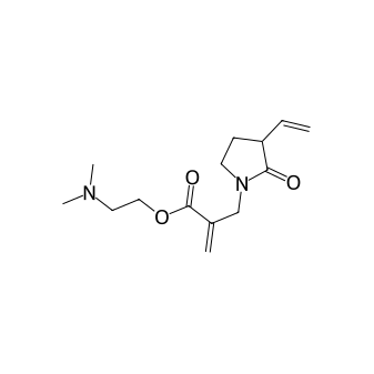 C=CC1CCN(CC(=C)C(=O)OCCN(C)C)C1=O